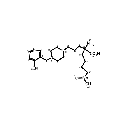 N#Cc1ccccc1CN1CCN(CCCC(N)(CCCCB(O)O)C(=O)O)CC1